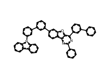 c1ccc(-c2cccc(-c3nc(-c4ccccc4)nc4c3oc3cc(-c5cccc(-c6cccc(-n7c8ccccc8c8ccccc87)c6)c5)ccc34)c2)cc1